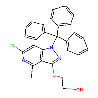 Cc1nc(Cl)cc2c1c(OCCO)nn2C(c1ccccc1)(c1ccccc1)c1ccccc1